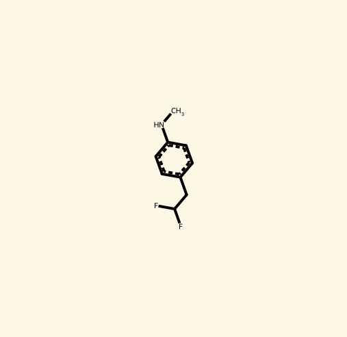 CNc1ccc(CC(F)F)cc1